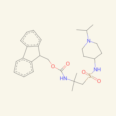 CC(C)N1CCC(NS(=O)(=O)CC(C)(C)NC(=O)OCC2c3ccccc3-c3ccccc32)CC1